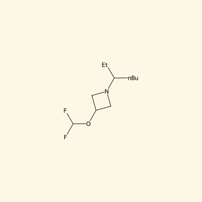 CCCCC(CC)N1CC(OC(F)F)C1